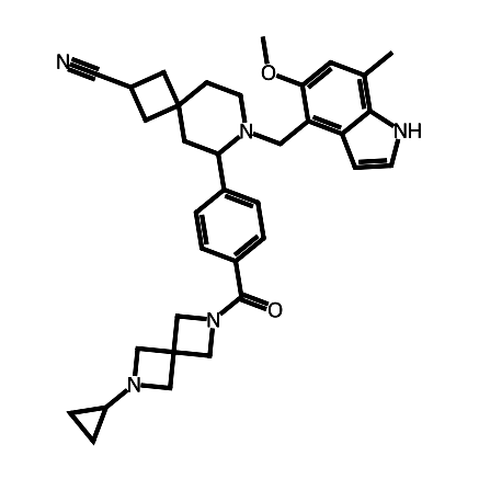 COc1cc(C)c2[nH]ccc2c1CN1CCC2(CC(C#N)C2)CC1c1ccc(C(=O)N2CC3(C2)CN(C2CC2)C3)cc1